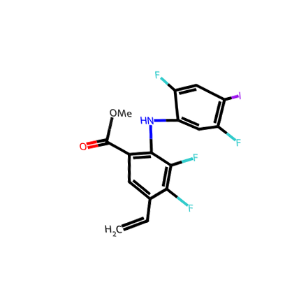 C=Cc1cc(C(=O)OC)c(Nc2cc(F)c(I)cc2F)c(F)c1F